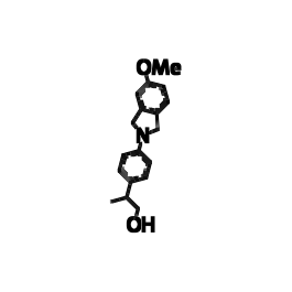 COc1ccc2c(c1)CN(c1ccc(C(C)CO)cc1)C2